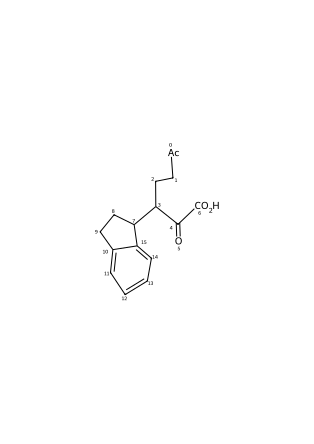 CC(=O)CCC(C(=O)C(=O)O)C1CCc2ccccc21